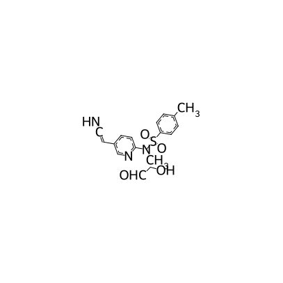 Cc1ccc(S(=O)(=O)N(C)c2ccc(C=C=N)cn2)cc1.O=CCO